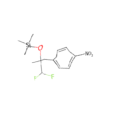 CC(O[Si](C)(C)C)(c1ccc([N+](=O)[O-])cc1)C(F)F